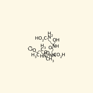 CC(COc1ccccc1)CC(C)CC(=O)NC(C)C(=O)NC(CCC(=O)NC(CO)CCCC(N)C(=O)O)C(=O)O